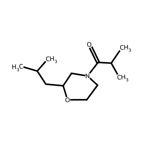 CC(C)CC1CN(C(=O)C(C)C)CCO1